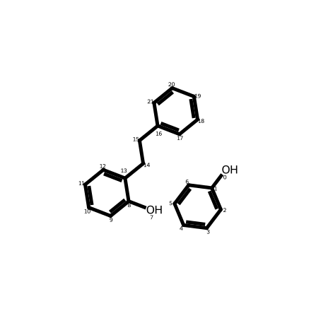 Oc1ccccc1.Oc1ccccc1CCc1ccccc1